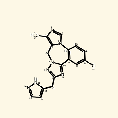 Cc1ncn2c1Cn1nc(Cc3ccn[nH]3)nc1-c1cc(Cl)ccc1-2